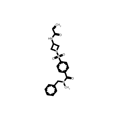 C=CC(=O)NC1CN(S(=O)(=O)c2ccc(C(=O)N(C)Cc3ccccc3)cc2)C1